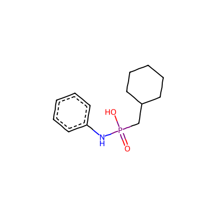 O=P(O)(CC1CCCCC1)Nc1ccccc1